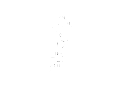 CCN(CC)C1CCCC1Oc1cc2c(cc1F)C(=O)N(C1CCC(=O)NC1=O)C2